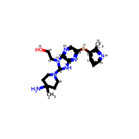 CC1(N)CCN(C2Nc3nc(Sc4cccnc4C(F)(F)F)cnc3N2CCO)CC1